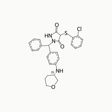 O=C1NN(C(c2ccccc2)c2ccc(N[C@H]3CCCOC3)cc2)C(=O)C1Sc1ccccc1Cl